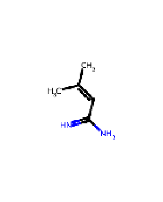 CC(C)=CC(=N)N